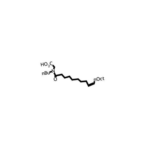 CCCCCCCC/C=C\CCCCCCCC(=O)N(CCCC)CC(=O)O